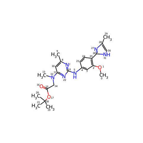 COc1cc(Nc2nc(C)cc(N(C)CC(=O)OC(C)(C)C)n2)ccc1-c1nc(C)c[nH]1